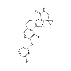 O=C1NCC2(CC2)c2[nH]c3c(c21)CCc1cnc(Oc2nccc(Cl)n2)c(F)c1-3